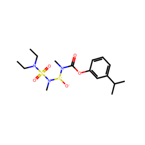 CCN(CC)S(=O)(=O)N(C)[S+]([O-])N(C)C(=O)Oc1cccc(C(C)C)c1